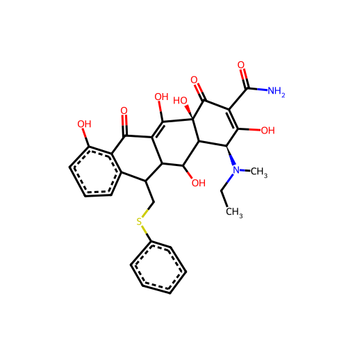 CCN(C)[C@@H]1C(O)=C(C(N)=O)C(=O)[C@@]2(O)C(O)=C3C(=O)c4c(O)cccc4C(CSc4ccccc4)C3C(O)C12